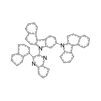 c1ccc2c(-c3nc4ccccc4nc3-n3c4cc(-n5c6ccccc6c6c7ccccc7ccc65)ccc4c4c5ccccc5ccc43)cccc2c1